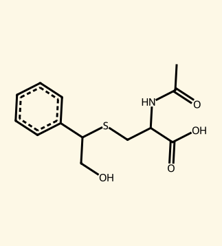 CC(=O)NC(CSC(CO)c1ccccc1)C(=O)O